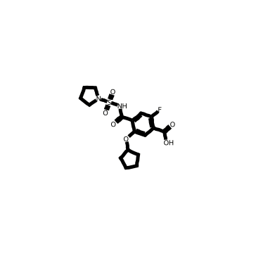 O=C(O)c1cc(OC2CCCC2)c(C(=O)NS(=O)(=O)N2CCCC2)cc1F